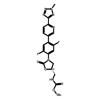 Cn1nnc(-c2ccc(-c3cc(F)c(N4C[C@H](CNC(=O)OC(C)(C)C)OC4=O)cc3F)cn2)n1